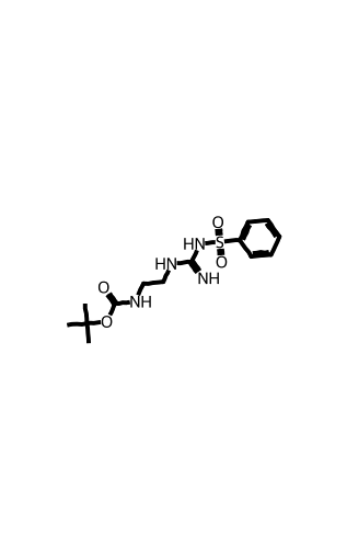 CC(C)(C)OC(=O)NCCNC(=N)NS(=O)(=O)c1ccccc1